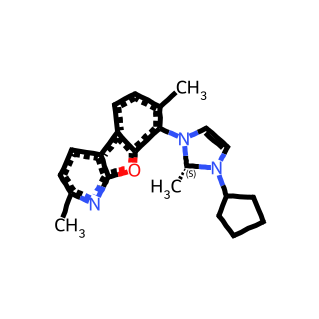 Cc1ccc2c(n1)oc1c(N3C=CN(C4CCCC4)[C@@H]3C)c(C)ccc12